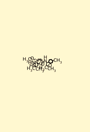 COCC[C@H]([C@@H]1C[C@H]1C(=O)NC1CC(C)(C)Oc2cc(C)ccc21)N1C(=N)NC(C)(C)CC1=O